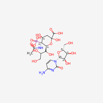 CC(=O)N[C@]1(P(=O)(O)O)[C@@H](O)CC(O)(C(=O)O)O[C@H]1C(O)C(O)CO.Nc1ccn([C@@H]2O[C@H](CO)[C@@H](O)[C@H]2O)c(=O)n1